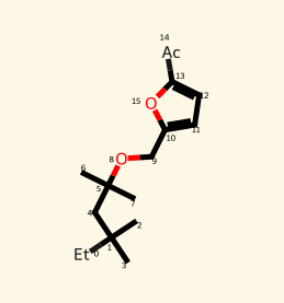 CCC(C)(C)CC(C)(C)OCc1ccc(C(C)=O)o1